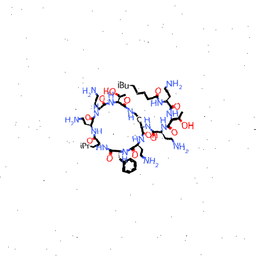 CC[C@H](C)CCCCC(=O)N[C@@H](CCN)C(=O)N[C@H](C(=O)N[C@@H](CCN)C(=O)N[C@H]1CCNC(=O)[C@H](C(C)O)NC(=O)[C@H](CCN)NC(=O)[C@H](CCN)NC(=O)C(CC(C)C)NC(=O)[C@@H](Cc2ccccc2)NC(=O)[C@H](CCN)NC1O)C(C)O